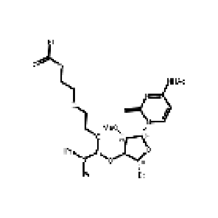 C=C1N=C(NC(C)=O)C=CN1[C@@H]1O[C@H](CC)C(OP(OCCOCCSC(=O)CC)N(C(C)C)C(C)C)[C@@H]1OC